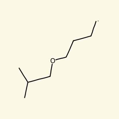 [CH2]CCCOCC(C)C